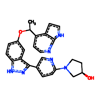 CC(Oc1ccc2[nH]nc(-c3ccc(N4CC[C@@H](O)C4)nc3)c2c1)c1ccnc2[nH]ccc12